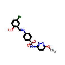 COc1ccc(NS(=O)(=O)c2ccc(/N=C/c3cc(Br)ccc3O)cc2)nn1